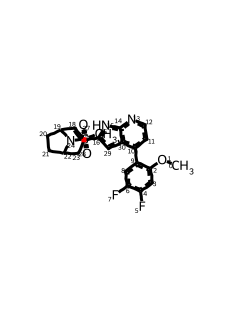 COc1cc(F)c(F)cc1-c1ccnc2[nH]c(C3=CC4CCC(C3)N4S(C)(=O)=O)cc12